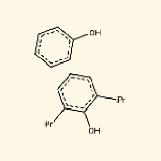 CC(C)c1cccc(C(C)C)c1O.Oc1ccccc1